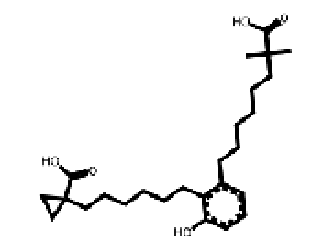 CC(C)(CCCCCCc1cccc(O)c1CCCCCCC1(C(=O)O)CC1)C(=O)O